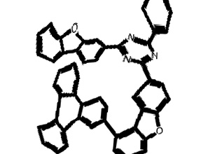 c1ccc(-c2nc(-c3ccc4c(c3)oc3ccccc34)nc(-c3ccc4oc5cccc(-c6ccc7c8ccccc8c8ccccc8c7c6)c5c4c3)n2)cc1